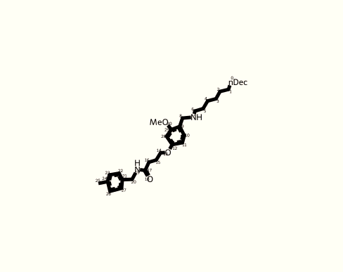 CCCCCCCCCCCCCCCCNCc1ccc(OCCCC(=O)NCc2ccc(C)cc2)cc1OC